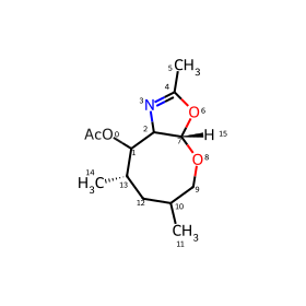 CC(=O)OC1C2N=C(C)O[C@@H]2OCC(C)C[C@@H]1C